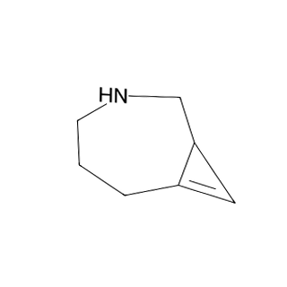 C1=C2CCCNCC12